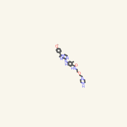 COc1ccc(-c2cnc3c(Nc4ccc(C(=O)NCCOCCN5CCNCC5)c(C)c4)nccn23)cc1